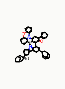 CCC1(c2ccc3c(c2)c2cc(C45CCC6CC(CC6C4)C5)cc4c2n3B2c3cccc5c3N(c3ccccc3O5)c3cc5c(oc6ccccc65)c-4c32)CC2CCC(C2)C1